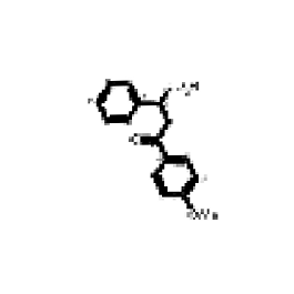 COc1ccc(C(=O)CC(C(=O)O)c2ccccc2)cc1